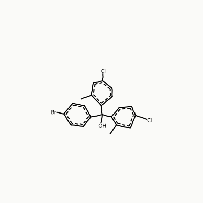 Cc1cc(Cl)ccc1C(O)(c1ccc(Br)cc1)c1ccc(Cl)cc1C